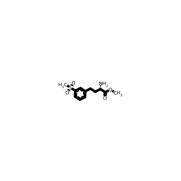 COC(=O)[C@@H](N)CCc1cccc(S(C)(=O)=O)c1